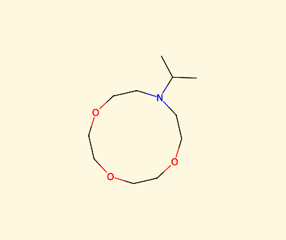 CC(C)N1CCOCCOCCOCC1